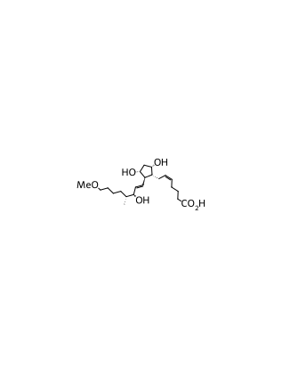 COCCCC[C@@H](C)[C@H](O)/C=C/[C@@H]1[C@@H](C/C=C\CCCC(=O)O)[C@@H](O)C[C@H]1O